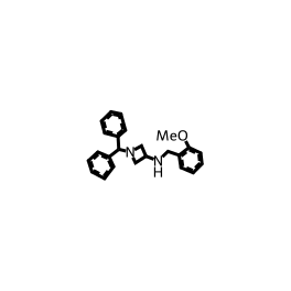 COc1ccccc1CNC1CN(C(c2ccccc2)c2ccccc2)C1